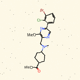 COC(=O)C1CCC(N(C)Cc2ncc(-c3cccc(Br)c3Cl)nc2OC)CC1